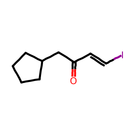 O=C(C=CI)CC1CCCC1